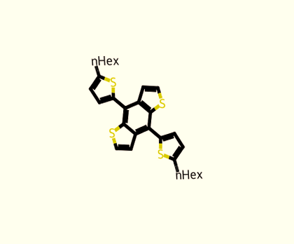 CCCCCCc1ccc(-c2c3ccsc3c(-c3ccc(CCCCCC)s3)c3ccsc23)s1